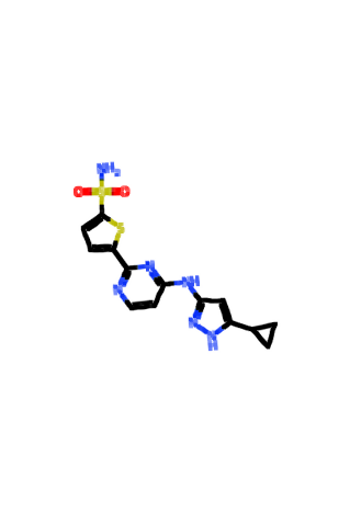 NS(=O)(=O)c1ccc(-c2nccc(Nc3cc(C4CC4)[nH]n3)n2)s1